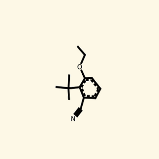 CCOc1cccc(C#N)c1C(C)(C)C